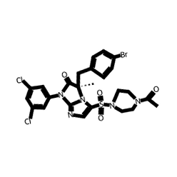 CC(=O)N1CCN(S(=O)(=O)c2cnc3n2[C@](C)(Cc2ccc(Br)cc2)C(=O)N3c2cc(Cl)cc(Cl)c2)CC1